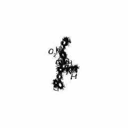 O=C(NS(=O)(=O)c1ccc(NCC2CCn3ccnc3C2)c([N+](=O)[O-])c1)c1ccc(N2CCN(C3CCCCc4c(Cl)cccc43)CC2)cc1Oc1cnc2[nH]ccc2c1